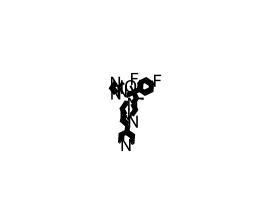 C[C@@H](N1CCn2cc(-c3ccncc3)nc2C1)[C@](O)(Cn1cncn1)c1ccc(F)cc1F